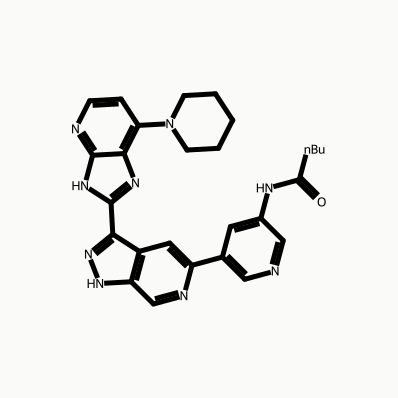 CCCCC(=O)Nc1cncc(-c2cc3c(-c4nc5c(N6CCCCC6)ccnc5[nH]4)n[nH]c3cn2)c1